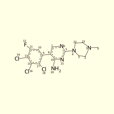 CN1CCN(c2ncc(-c3cc(F)c(Cl)c(Cl)c3Cl)c(N)n2)CC1